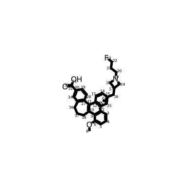 COc1cccc(OC)c1C1=C(c2ccc(CC3CN(CCCF)C3)cc2)c2ccc(C(=O)O)cc2CCC1